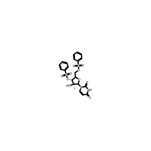 C[C@@]1(O)C(n2ccc(=O)[nH]c2=O)OC(COS(=O)(=O)c2ccccc2)[C@H]1OS(=O)(=O)c1ccccc1